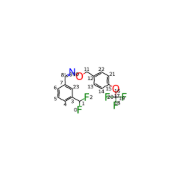 FC(F)c1cccc(/[C]=N\OCc2ccc(OC(F)(F)F)cc2)c1